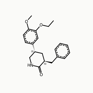 CCOc1cc([C@H]2CNC(=O)[C@H](Cc3ccccc3)C2)ccc1OC